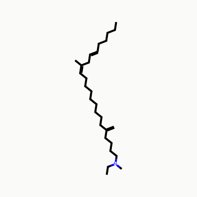 C=C(CCCCCCCC/C=C(/C)C/C=C/CCCCC)CCCCN(C)CC